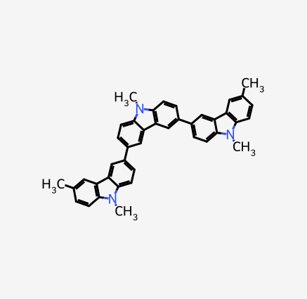 Cc1ccc2c(c1)c1cc(-c3ccc4c(c3)c3cc(-c5ccc6c(c5)c5cc(C)ccc5n6C)ccc3n4C)ccc1n2C